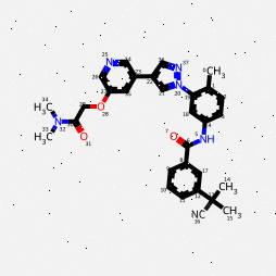 Cc1ccc(NC(=O)c2cccc(C(C)(C)C#N)c2)cc1-n1cc(-c2cncc(OCC(=O)N(C)C)c2)cn1